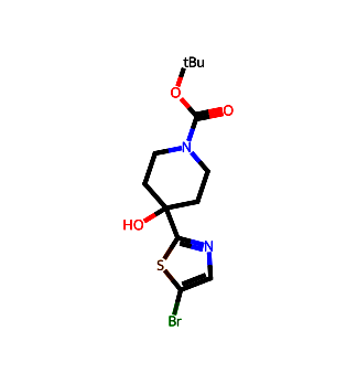 CC(C)(C)OC(=O)N1CCC(O)(c2ncc(Br)s2)CC1